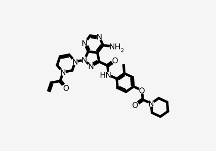 C=CC(=O)N1CC=CN(n2nc(C(=O)Nc3ccc(OC(=O)N4CCCCC4)cc3C)c3c(N)ncnc32)C1